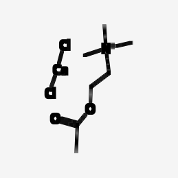 CC(=O)OCC[N+](C)(C)C.[Cl][Ca][Cl]